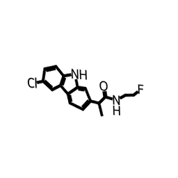 CC(C(=O)NCCF)c1ccc2c(c1)[nH]c1ccc(Cl)cc12